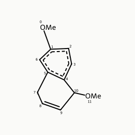 COc1ccc2c(c1)[CH]C=CC2OC